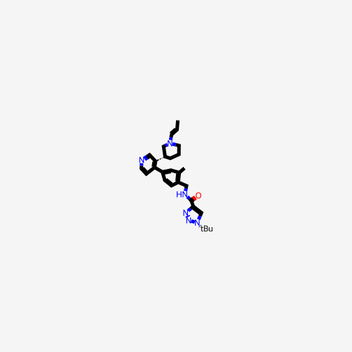 CC=CN1CCC[C@H](c2cnccc2-c2ccc(CNC(=O)c3cn(C(C)(C)C)nn3)c(C)c2)C1